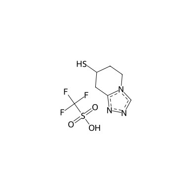 O=S(=O)(O)C(F)(F)F.SC1CCn2cnnc2C1